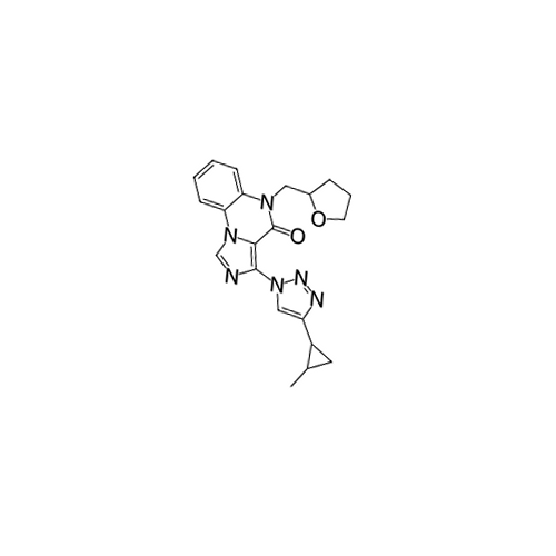 CC1CC1c1cn(-c2ncn3c2c(=O)n(CC2CCCO2)c2ccccc23)nn1